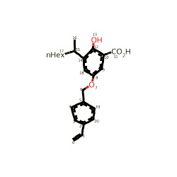 C=Cc1ccc(COc2cc(C(=O)O)c(O)c(C(C)CCCCCC)c2)cc1